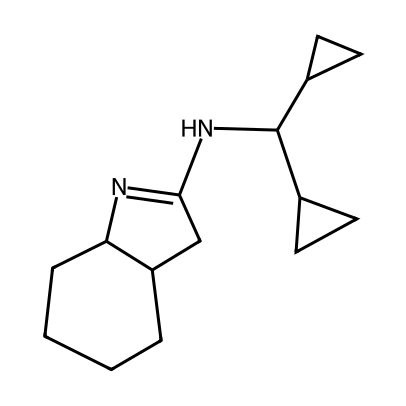 C1CCC2N=C(NC(C3CC3)C3CC3)CC2C1